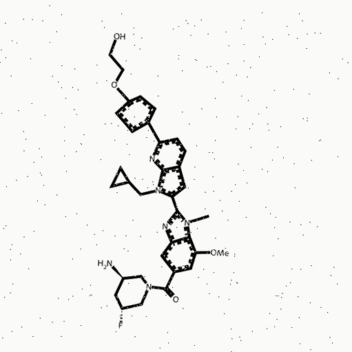 COc1cc(C(=O)N2C[C@H](N)C[C@@H](F)C2)cc2nc(-c3cc4ccc(-c5ccc(OCCO)cc5)nc4n3CC3CC3)n(C)c12